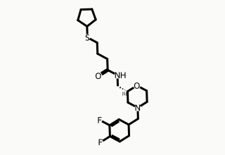 O=C(CCCSC1CCCC1)NC[C@H]1CN(CC2C=C(F)C(F)=CC2)CCO1